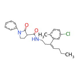 CCC/C=C(/CCNC(=O)C1CCN(c2ccccc2)C1=O)c1cc(Cl)ccc1C